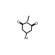 CC(=O)C1CC(=O)N(C)C(=O)C1